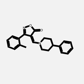 Cc1ccccc1C1=NOC(=O)/C1=C\N1CCC(c2ccccc2)CC1